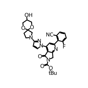 CC(C)(C)OC(=O)N1Cc2nc(-c3c(F)cccc3C#N)cc(-n3ccc(N4CCC5(C4)OCC(O)CO5)n3)c2C1=O